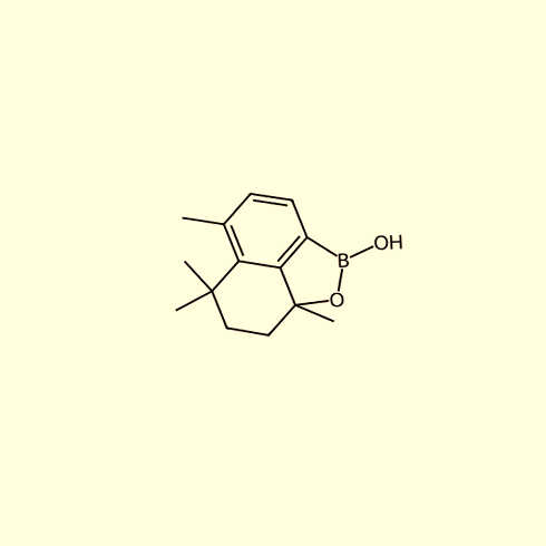 Cc1ccc2c3c1C(C)(C)CCC3(C)OB2O